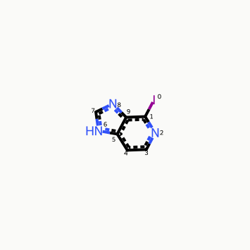 Ic1nccc2[nH]cnc12